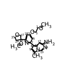 COCCOc1cc(-c2cc(C)n3cnc(N)cc23)nc([C@]2(OC)CCOC2)c1